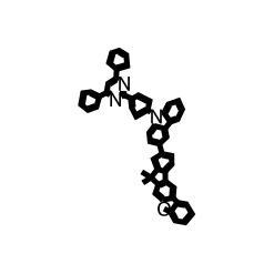 CC1(C)c2cc(-c3ccc4c(c3)c3ccccc3n4-c3ccc(-c4nc(-c5ccccc5)cc(-c5ccccc5)n4)cc3)ccc2-c2cc3c(cc21)oc1ccccc13